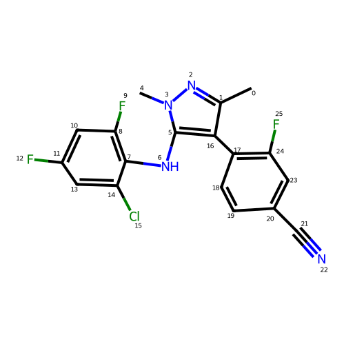 Cc1nn(C)c(Nc2c(F)cc(F)cc2Cl)c1-c1ccc(C#N)cc1F